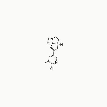 Cc1cc(C2=C[C@H]3NCC[C@H]3C2)cnc1Cl